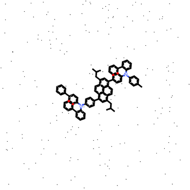 Cc1ccc(N(c2ccc(-c3cc(CC(C)C)c4ccc5c(-c6ccc(N(c7ccc(-c8ccccc8)cc7)c7ccccc7-c7ccccc7)cc6)cc(CC(C)C)c6ccc3c4c65)cc2)c2ccccc2-c2ccccc2)cc1